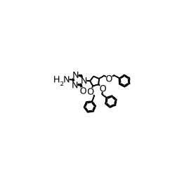 Nc1ncn(C2CC(COCc3ccccc3)C(OCc3ccccc3)C2OCc2ccccc2)c(=O)n1